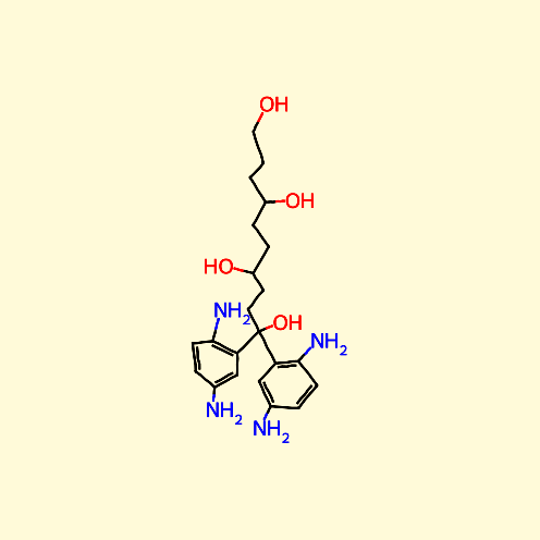 Nc1ccc(N)c(C(O)(CCC(O)CCC(O)CCCO)c2cc(N)ccc2N)c1